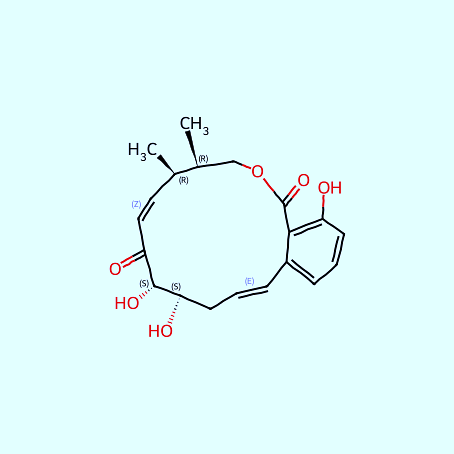 C[C@@H]1/C=C\C(=O)[C@@H](O)[C@@H](O)C/C=C/c2cccc(O)c2C(=O)OC[C@@H]1C